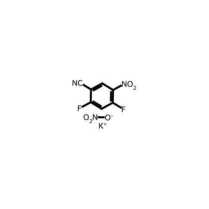 N#Cc1cc([N+](=O)[O-])c(F)cc1F.O=[N+]([O-])[O-].[K+]